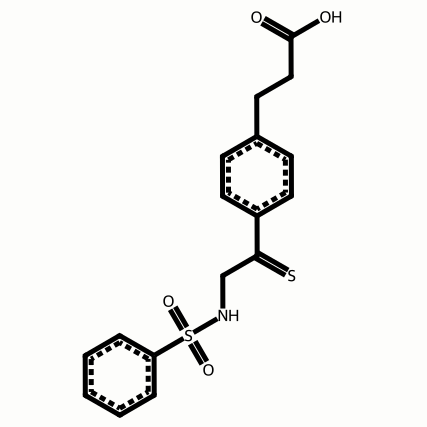 O=C(O)CCc1ccc(C(=S)CNS(=O)(=O)c2ccccc2)cc1